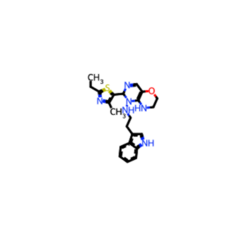 CCc1nc(C)c(C2N=CC3=C(NCCO3)N2NCCc2c[nH]c3ccccc23)s1